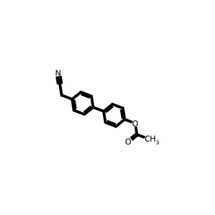 CC(=O)Oc1ccc(-c2ccc(CC#N)cc2)cc1